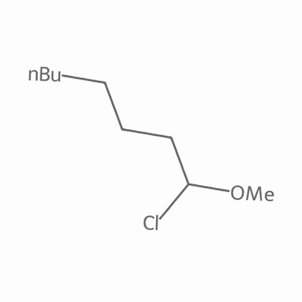 CCCCCCCC(Cl)OC